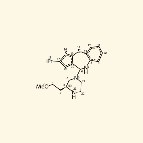 COCC[C@H]1CN(C2Nc3ccccc3Sc3sc(C(C)C)cc32)CCN1